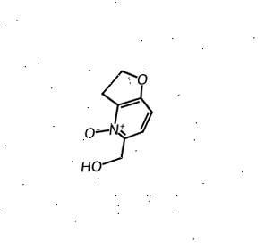 [O-][n+]1c(CO)ccc2c1CCO2